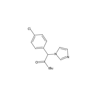 CC(C)(C)C(=O)C(c1ccc(Cl)cc1)n1ccnc1